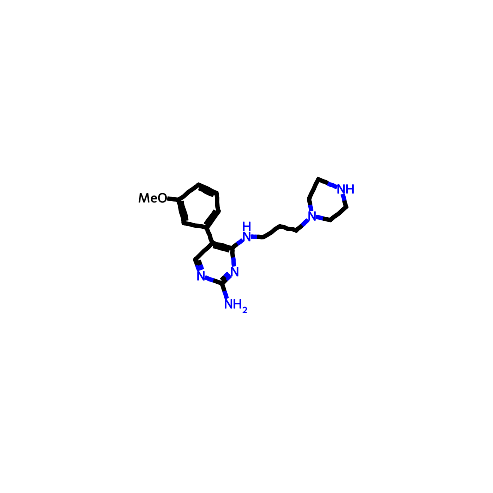 COc1cccc(-c2cnc(N)nc2NCCCN2CCNCC2)c1